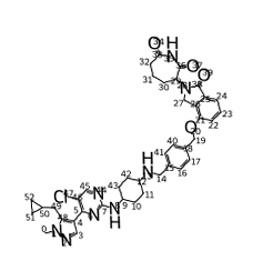 Cn1ncc(-c2nc(NC3CCC(NCc4ccc(COc5cccc6c5CN(C5CCCC(=O)NC5=O)C6=O)cc4)CC3)ncc2Cl)c1CC1CC1